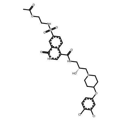 CC(=O)OCCNS(=O)(=O)c1ccc2c(C(=O)NC[C@@H](O)CN3CCC(Oc4ccc(Cl)c(Cl)c4)CC3)c[nH]c(=O)c2c1